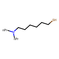 CCCN(CCC)CCCCCCS